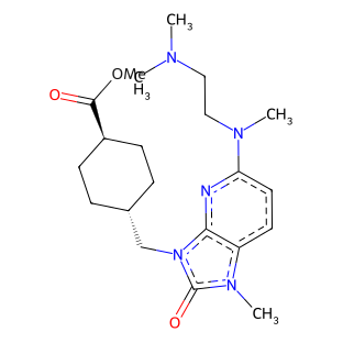 COC(=O)[C@H]1CC[C@H](Cn2c(=O)n(C)c3ccc(N(C)CCN(C)C)nc32)CC1